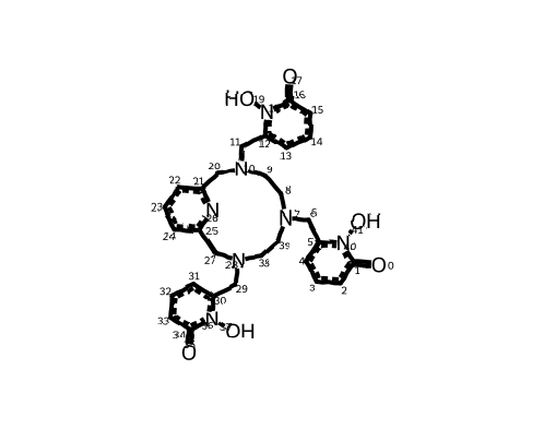 O=c1cccc(CN2CCN(Cc3cccc(=O)n3O)Cc3cccc(n3)CN(Cc3cccc(=O)n3O)CC2)n1O